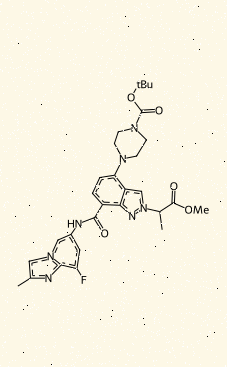 COC(=O)C(C)n1cc2c(N3CCN(C(=O)OC(C)(C)C)CC3)ccc(C(=O)Nc3cc(F)c4nc(C)cn4c3)c2n1